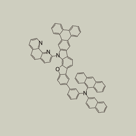 c1cc(-c2ccc3oc4c(ccc5c6cc7c8ccccc8c8ccccc8c7cc6n(-c6ccc7ccc8cccnc8c7n6)c54)c3c2)cc(N(c2ccc3ccccc3c2)c2c3ccccc3cc3ccccc23)c1